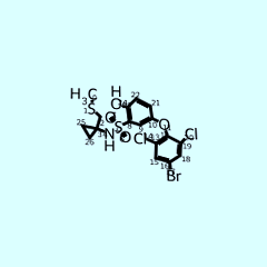 CSCC1(NS(=O)(=O)c2cc(Oc3c(Cl)cc(Br)cc3Cl)ccc2O)CC1